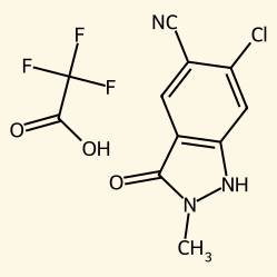 Cn1[nH]c2cc(Cl)c(C#N)cc2c1=O.O=C(O)C(F)(F)F